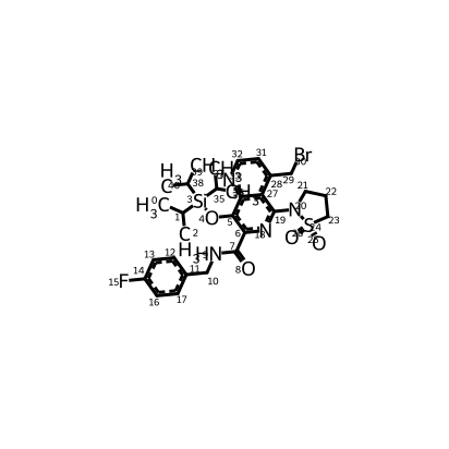 CC(C)[Si](Oc1c(C(=O)NCc2ccc(F)cc2)nc(N2CCCS2(=O)=O)c2c(CBr)ccnc12)(C(C)C)C(C)C